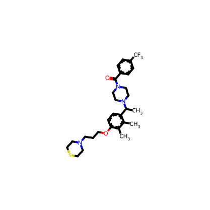 Cc1c(OCCCN2CCSCC2)ccc(C(C)N2CCN(C(=O)c3ccc(C(F)(F)F)cc3)CC2)c1C